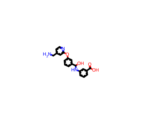 NCc1ccnc(Oc2cccc(C(O)Nc3cccc(C(=O)O)c3)c2)c1